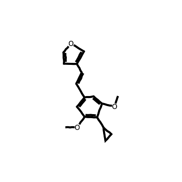 COc1cc(/C=C/c2ccoc2)cc(OC)c1C1CC1